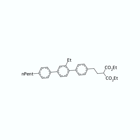 CCCCCc1ccc(-c2ccc(-c3ccc(CCC(C(=O)OCC)C(=O)OCC)cc3)c(CC)c2)cc1